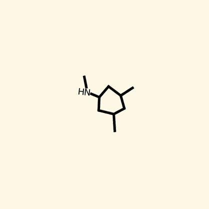 CNC1CC(C)CC(C)C1